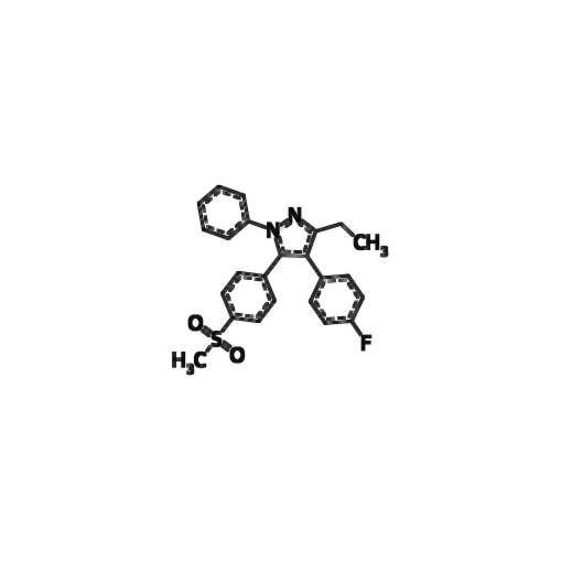 CCc1nn(-c2ccccc2)c(-c2ccc(S(C)(=O)=O)cc2)c1-c1ccc(F)cc1